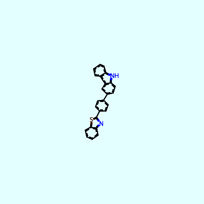 c1ccc2sc(-c3ccc(-c4ccc5[nH]c6ccccc6c5c4)cc3)nc2c1